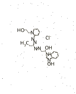 CCC(N=NCC(O)[n+]1cn(O)c2ccccc21)=NN=c1ccccn1CCO.[Cl-]